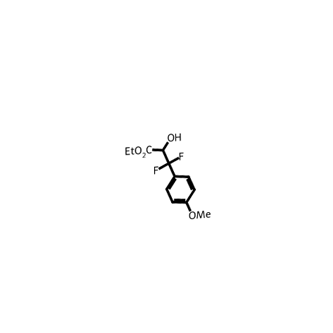 CCOC(=O)C(O)C(F)(F)c1ccc(OC)cc1